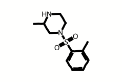 Cc1ccccc1S(=O)(=O)N1CCNC(C)C1